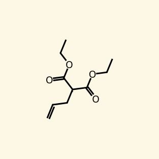 C=CC[C](C(=O)OCC)C(=O)OCC